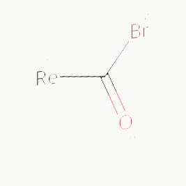 O=[C](Br)[Re]